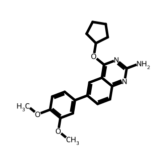 COc1ccc(-c2ccc3nc(N)nc(OC4CCCC4)c3c2)cc1OC